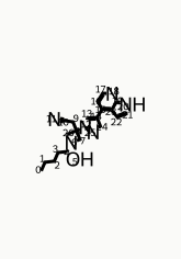 CCCCC(O)N1CC(CC#N)(n2cc(-c3ccnc4[nH]ccc34)cn2)C1